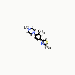 CCN1CCN(c2ccc(-c3csc(C(C)(C)C)n3)cc2C)CC1